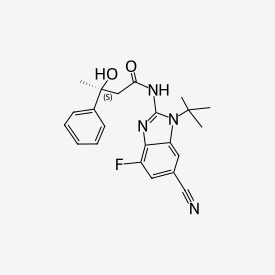 CC(C)(C)n1c(NC(=O)C[C@](C)(O)c2ccccc2)nc2c(F)cc(C#N)cc21